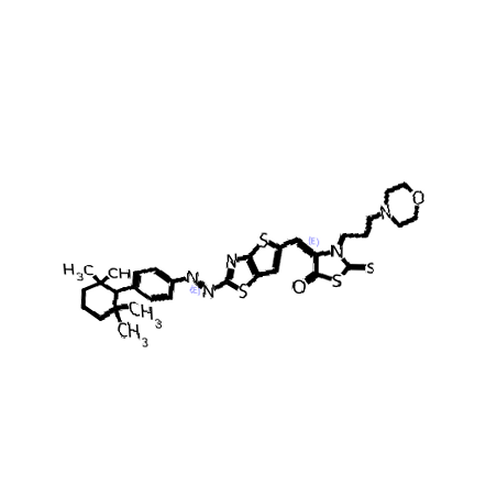 CC1(C)CCCC(C)(C)C1c1ccc(/N=N/c2nc3sc(/C=C4\C(=O)SC(=S)N4CCCN4CCOCC4)cc3s2)cc1